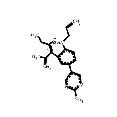 C=CCNc1ccc(-c2cnc(C)nc2)cc1/C(C(=C)C)=C(\C)CC